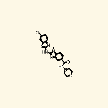 Cn1c(Nc2nc3ccc(Cl)cc3s2)nc2cc(C(=O)NN3CCOCC3)ccc21